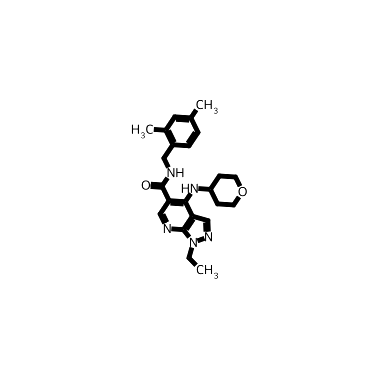 CCn1ncc2c(NC3CCOCC3)c(C(=O)NCc3ccc(C)cc3C)cnc21